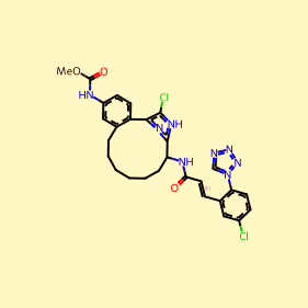 COC(=O)Nc1ccc2c(c1)CCCCCCC(NC(=O)/C=C/c1cc(Cl)ccc1-n1cnnn1)c1nc-2c(Cl)[nH]1